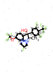 C[C@@H](n1cc(F)cn1)[C@@](O)(c1ccc(OC(F)(F)F)cc1)c1cc(F)c(C(F)(F)F)c(F)c1